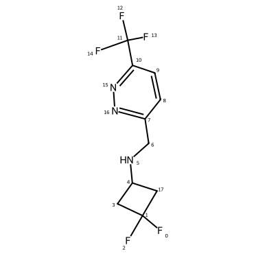 FC1(F)CC(NCc2ccc(C(F)(F)F)nn2)C1